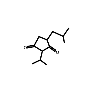 CC(C)CC1CC(=O)C(C(C)C)C1=O